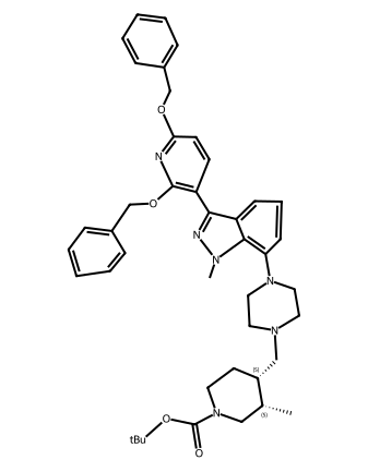 C[C@@H]1CN(C(=O)OC(C)(C)C)CC[C@@H]1CN1CCN(c2cccc3c(-c4ccc(OCc5ccccc5)nc4OCc4ccccc4)nn(C)c23)CC1